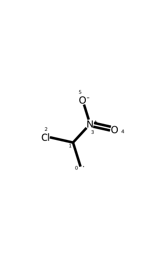 [CH2]C(Cl)[N+](=O)[O-]